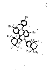 Cc1cc(C(C)(C)C)ccc1N1c2cc(C(C)(C)C)ccc2B2c3c1cc(C(C)(C)C)cc3N(c1ccc3c(c1)C(C)(C)CCC3(C)C)c1sc3c(c12)C(C)(C)CCC3(C)C